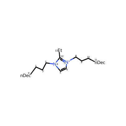 CCCCCCCCCCCCCn1cc[n+](CCCCCCCCCCCCC)c1CC